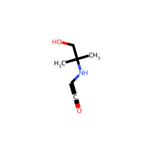 CC(C)(CO)NC=C=O